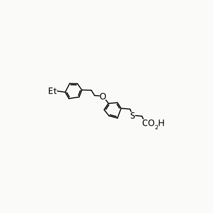 CCc1ccc(CCOc2cccc(CSCC(=O)O)c2)cc1